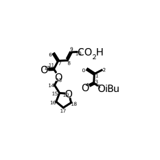 C=C(C)C(=O)OCC(C)C.C=C(C=CC(=O)O)C(=O)OCC1CCCO1